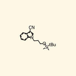 CC(C)(C)[Si](C)(C)OCCCn1cc(C#N)c2ccccc21